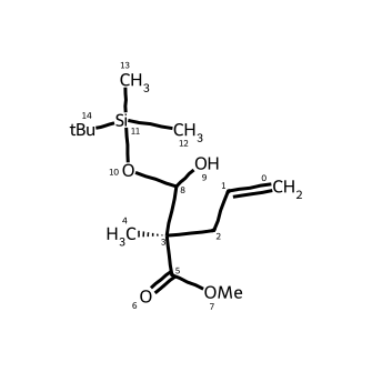 C=CC[C@@](C)(C(=O)OC)C(O)O[Si](C)(C)C(C)(C)C